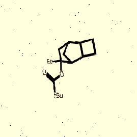 CCC1(OC(=O)C(C)(C)C)CC2CC1C1CCC21